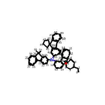 CCC1CC2CCCC(C1)C21c2ccccc2-c2c(N(c3ccc4c(c3)C(C)(C)c3ccccc3-4)c3ccc4c(c3)C3(CCCC3)c3ccccc3-4)cccc21